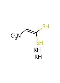 O=[N+]([O-])C=C(S)S.[KH].[KH]